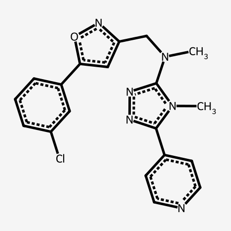 CN(Cc1cc(-c2cccc(Cl)c2)on1)c1nnc(-c2ccncc2)n1C